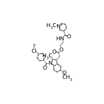 COc1ccc2c(c1)c(CC(=O)OCCNC(=O)c1ccc[n+](C)c1)c(C)n2C(=O)c1ccc(Cl)cc1.[I-]